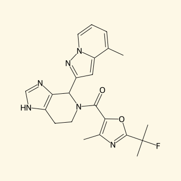 Cc1nc(C(C)(C)F)oc1C(=O)N1CCc2[nH]cnc2C1c1cc2c(C)cccn2n1